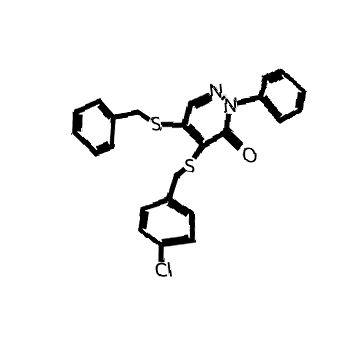 O=c1c(SCc2ccc(Cl)cc2)c(SCc2ccccc2)cnn1-c1ccccc1